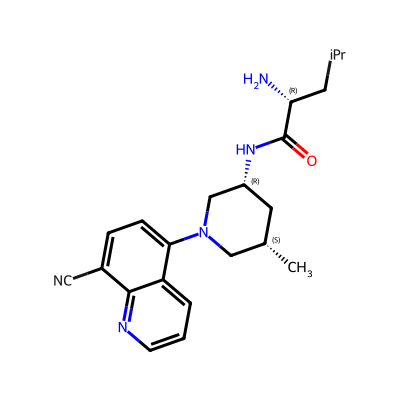 CC(C)C[C@@H](N)C(=O)N[C@@H]1C[C@H](C)CN(c2ccc(C#N)c3ncccc23)C1